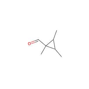 CC1C(C)C1(C)C=O